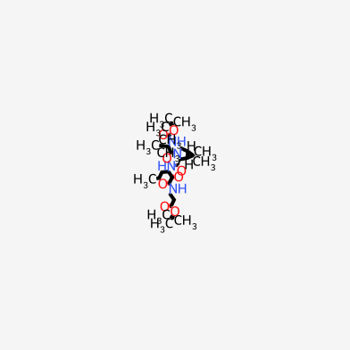 CCCC(NC(=O)[C@@H]1[C@@H]2[C@H](CN1C(=O)[C@@H](NC(=O)OC(C)(C)C)C(C)(C)C)C2(C)C)C(=O)C(=O)NCCC(=O)OC(C)(C)C